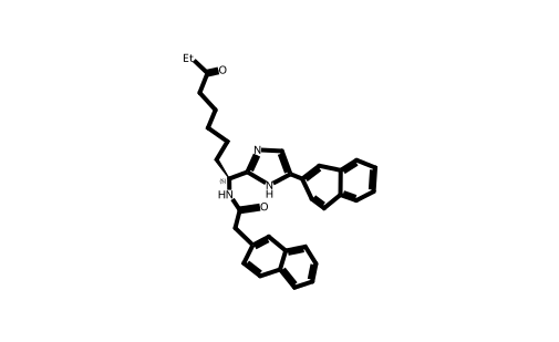 CCC(=O)CCCCC[C@H](NC(=O)Cc1ccc2ccccc2c1)c1ncc(-c2ccc3ccccc3c2)[nH]1